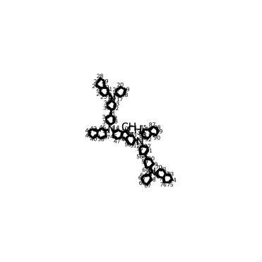 CC1(C)c2cc(N(c3ccc(-c4ccc(N(c5ccccc5)c5ccc6ccccc6c5)cc4)cc3)c3ccc4ccccc4c3)ccc2-c2ccc(N(c3ccc(-c4ccc(N(c5ccccc5)c5ccc6ccccc6c5)cc4)cc3)c3ccc4ccccc4c3)cc21